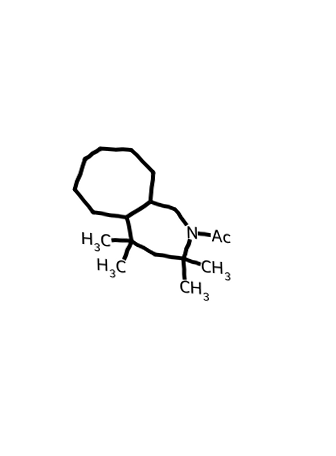 CC(=O)N1CC2CCCCCCC2C(C)(C)CC1(C)C